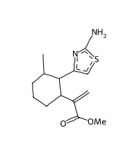 C=C(C(=O)OC)C1CCCC(C)C1c1csc(N)n1